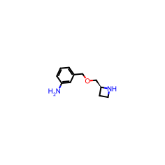 Nc1cccc(COC[C@@H]2CCN2)c1